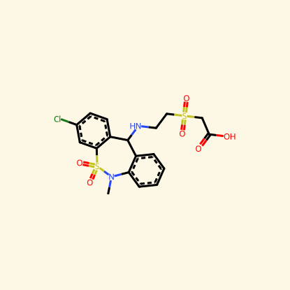 CN1c2ccccc2C(NCCS(=O)(=O)CC(=O)O)c2ccc(Cl)cc2S1(=O)=O